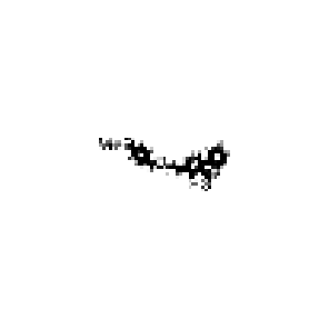 COc1ccc(COCCCc2cnc3c(c2C)c(=O)oc2ccccc23)cc1